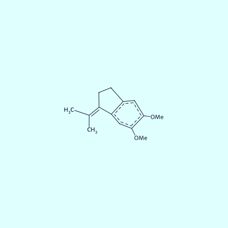 COc1cc2c(cc1OC)C(=C(C)C)CC2